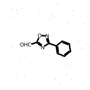 O=[C]c1nc(-c2ccccc2)no1